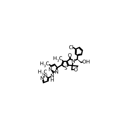 Cc1cc(-c2sc3c(c2C)C(=O)N([C@H](CO)c2cccc(Cl)c2)C32COC2)nc(Nc2ccnn2C)n1